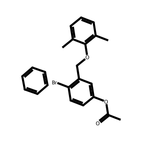 CC(=O)Oc1ccc(Br)c(COc2c(C)cccc2C)c1.c1ccccc1